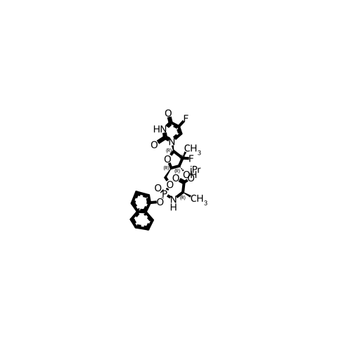 CC(C)OC(=O)[C@@H](C)NP(=O)(OC[C@H]1O[C@@H](n2cc(F)c(=O)[nH]c2=O)[C@](C)(F)[C@@H]1O)Oc1cccc2ccccc12